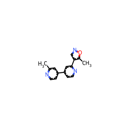 Cc1cc(-c2ccnc(-c3cnoc3C)c2)ccn1